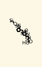 Cn1c2nc(C(=O)O)sc2c2cnn(Cc3cccc4c3cnn4COCC[Si](C)(C)C)c(=O)c21